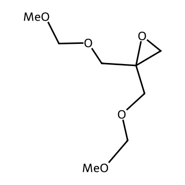 COCOCC1(COCOC)CO1